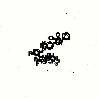 CC(C)(C)[S+]([O-])NC(c1cc(F)ccc1Cn1nnc2c1CCN(c1cnn(C3CCCCO3)c(=O)c1Cl)C2)C(F)(F)F